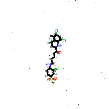 Cc1c(Cl)cc(Cl)c2c1C(F)(F)CC(C(=O)CCCC(=O)Nc1ccc(S(C)(=O)=O)cc1Cl)N2